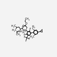 C=CNC(CC(C)C)C(=O)N[C@@H](CC(=O)OCC)c1c(F)c(-c2c(C)cc(C3CC3)cc2C)cc(C(F)(F)F)c1F